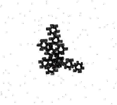 c1ccc(-c2ccc(-c3nc(-c4ccccc4)nc(-n4c5ccccc5c5c4c(-n4c6ccccc6c6ccccc64)cc4c6ccccc6n(-c6cccc(-c7ccccc7)c6)c45)n3)cc2)cc1